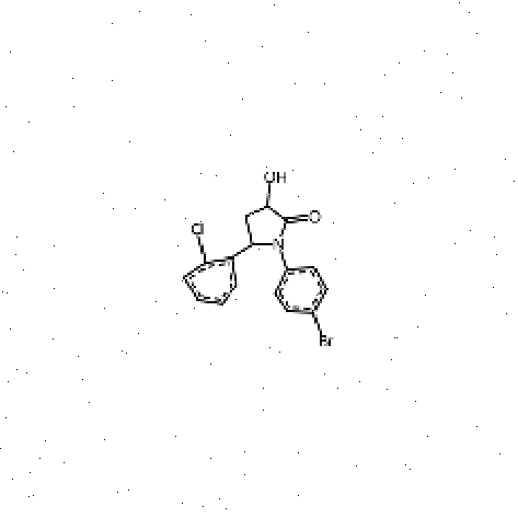 O=C1C(O)CC(c2ccccc2Cl)N1c1ccc(Br)cc1